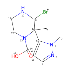 Cn1nccc1C1(C)C(Br)NCCN1C(=O)O